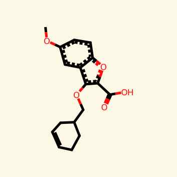 COc1ccc2oc(C(=O)O)c(OCC3CC=CCC3)c2c1